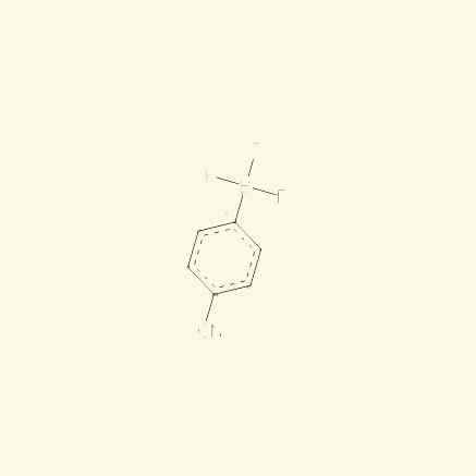 N#Cc1ccc([B-](F)(F)F)cc1